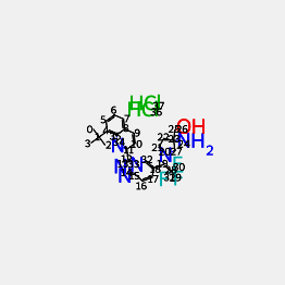 CC(C)(C)c1cccc2ccc(-c3nnc4ccc([C@@H](N5CCC(N)(CO)C5)C(F)(F)F)cn34)nc12.Cl.Cl